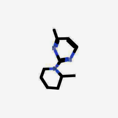 Cc1ccnc(N2CCCCC2C)n1